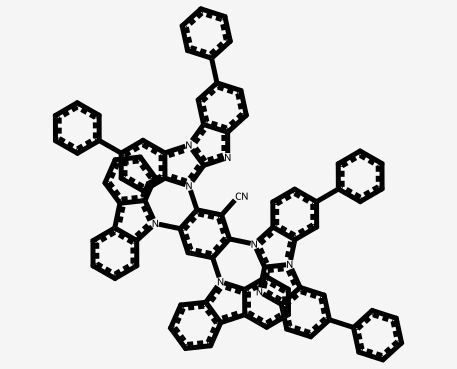 N#Cc1c(-n2c3ccc(-c4ccccc4)cc3n3c4cc(-c5ccccc5)ccc4nc23)c(-n2c3ccccc3c3ccccc32)cc(-n2c3ccccc3c3ccccc32)c1-n1c2ccc(-c3ccccc3)cc2n2c3cc(-c4ccccc4)ccc3nc12